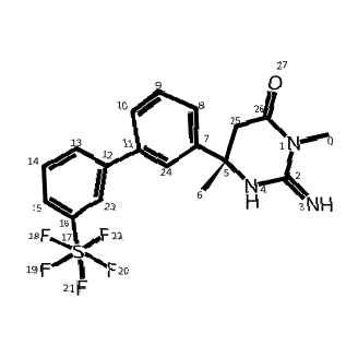 CN1C(=N)N[C@](C)(c2cccc(-c3cccc(S(F)(F)(F)(F)F)c3)c2)CC1=O